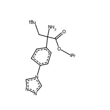 CC(C)OC(=O)C(N)(CC(C)(C)C)c1ccc(-n2cnnc2)cc1